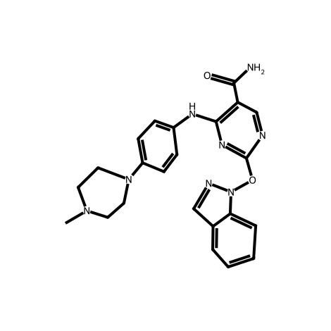 CN1CCN(c2ccc(Nc3nc(On4ncc5ccccc54)ncc3C(N)=O)cc2)CC1